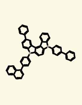 c1ccc(-c2ccc(-n3c4ccccc4c4c5c6cc(-c7ccccc7)ccc6n(-c6ccc(-c7cccc8ccccc78)cc6)c5ccc43)cc2)cc1